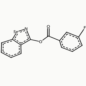 O=C(Oc1n[se]c2ccccc12)c1cccc(F)c1